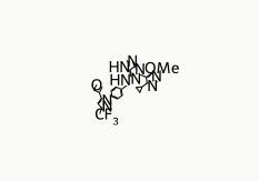 COc1ncnc(C2CC2)c1-c1nc(NCc2ccc(-n3nc(C(F)(F)F)cc3C3COC3)cc2)c2[nH]cnc2n1